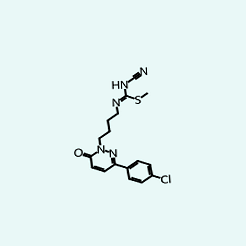 CSC(=NCCCCn1nc(-c2ccc(Cl)cc2)ccc1=O)NC#N